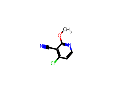 COc1nccc(Cl)c1C#N